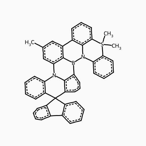 Cc1cc2c3c(c1)N1c4ccccc4C4(c5ccccc5-c5ccccc54)c4cccc(c41)B3N1c3ccccc3S(C)(C)c3cccc-2c31